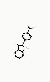 CCNC(=O)c1ccc(C2C(C#N)c3ccccc3N2CC)cc1